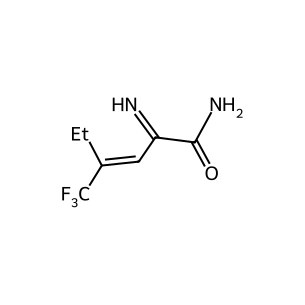 CC/C(=C\C(=N)C(N)=O)C(F)(F)F